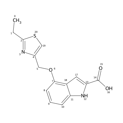 CCc1nc(COc2cccc3[nH]c(C(=O)O)cc23)cs1